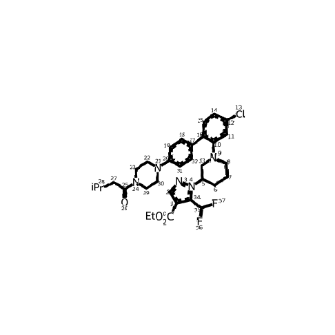 CCOC(=O)c1cnn(C2CCCN(c3cc(Cl)ccc3-c3ccc(N4CCN(C(=O)CC(C)C)CC4)cc3)C2)c1C(F)F